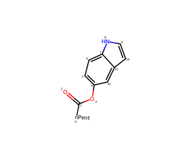 CCCCCC(=O)Oc1ccc2[nH]ccc2c1